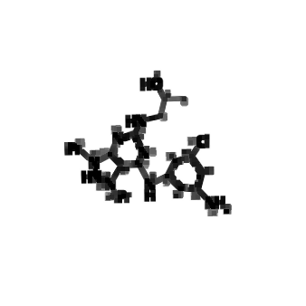 CC(O)CNc1nc(Nc2cc(N)cc(Cl)c2)c2c(n1)N(C(C)C)NN2C(C)C